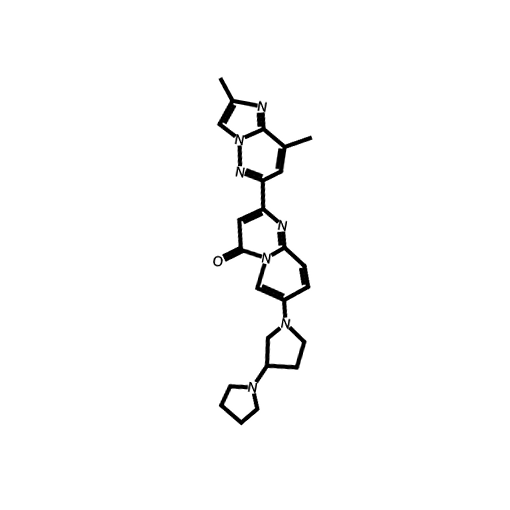 Cc1cn2nc(-c3cc(=O)n4cc(N5CCC(N6CCCC6)C5)ccc4n3)cc(C)c2n1